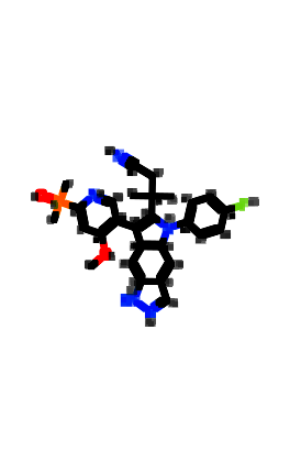 COc1cc(P(C)(C)=O)ncc1-c1c(C(C)(C)CC#N)n(-c2ccc(F)cc2)c2cc3cn[nH]c3cc12